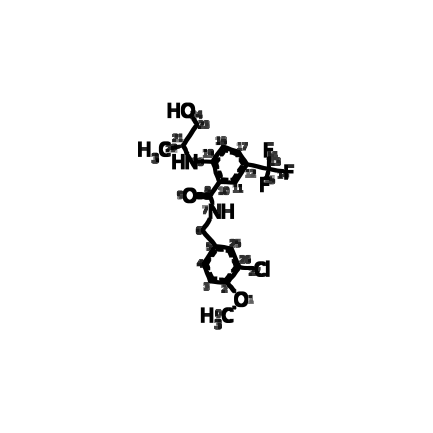 COc1ccc(CNC(=O)c2cc(C(F)(F)F)ccc2N[C@@H](C)CO)cc1Cl